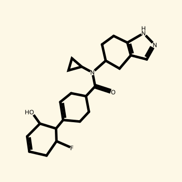 O=C(C1CC=C(C2C(O)C=CCC2F)CC1)N(C1CC1)C1CCc2[nH]ncc2C1